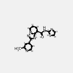 Cc1cc(-c2nc3c(C(=O)Nc4nccs4)cccn3n2)ccn1